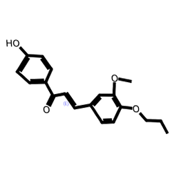 CCCOc1ccc(/C=C/C(=O)c2ccc(O)cc2)cc1OC